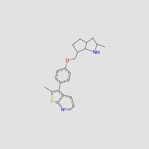 Cc1sc2ncccc2c1-c1ccc(OCC2CCC3CC(C)NC23)cc1